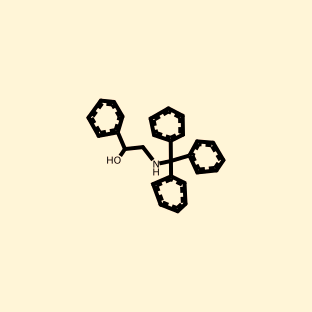 OC(CNC(c1ccccc1)(c1ccccc1)c1ccccc1)c1ccccc1